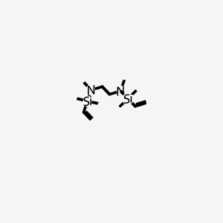 C=C[Si](C)(C)N(C)CCN(C)[Si](C)(C)C=C